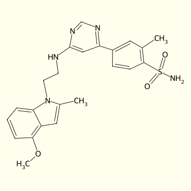 COc1cccc2c1cc(C)n2CCNc1cc(-c2ccc(S(N)(=O)=O)c(C)c2)ncn1